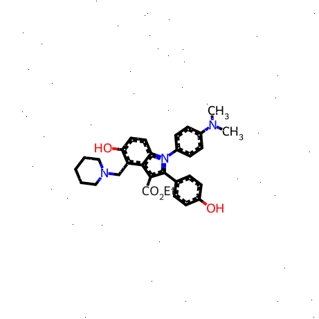 CCOC(=O)c1c(-c2ccc(O)cc2)n(-c2ccc(N(C)C)cc2)c2ccc(O)c(CN3CCCCC3)c12